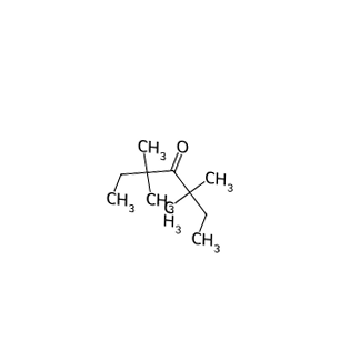 CCC(C)(C)C(=O)C(C)(C)CC